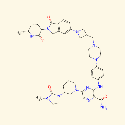 C=C1CCC(N2Cc3cc(N4CC(CN5CCN(c6ccc(Nc7nc(N8CCC[C@@H](N9CCN(C)C9=O)C8)cnc7C(N)=O)cc6)CC5)C4)ccc3C2=O)C(=O)N1